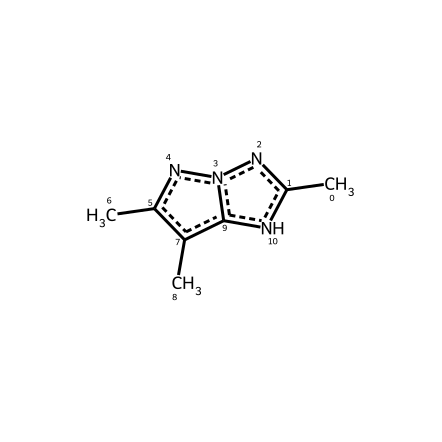 Cc1nn2nc(C)c(C)c2[nH]1